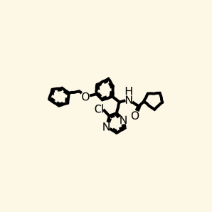 O=C(NC(c1cccc(OCc2ccccc2)c1)c1nccnc1Cl)C1CCCC1